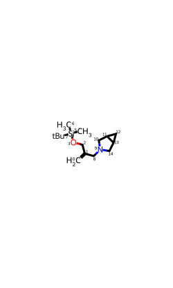 C=C(CO[Si](C)(C)C(C)(C)C)CN1CC2CC2C1